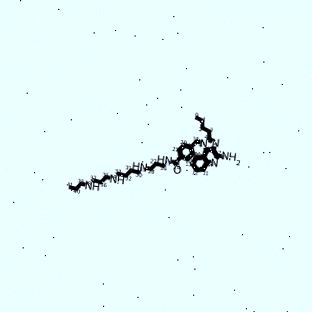 CCCCc1nc2c(N)nc3ccccc3c2n1Cc1ccc(C(=O)NCCCNCCCCNCCCNCCC)cc1